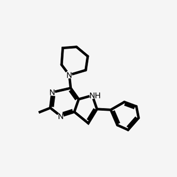 Cc1nc(N2CCCCC2)c2[nH]c(-c3ccccc3)cc2n1